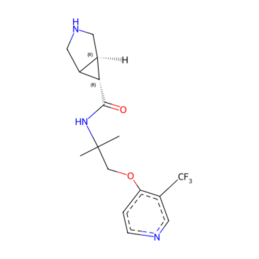 CC(C)(COc1ccncc1C(F)(F)F)NC(=O)[C@@H]1C2CNC[C@H]21